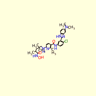 Cc1nc(NCC(C)(C)CC(C)C(=O)NO)ccc1C(=O)Nc1ccc(Cl)c(-c2nc3cc(N(C)C)ccc3[nH]2)c1